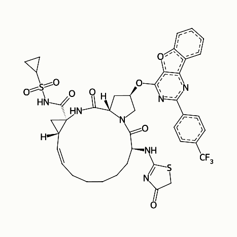 O=C1CSC(N[C@H]2CCCCC/C=C\[C@@H]3C[C@@]3(C(=O)NS(=O)(=O)C3CC3)NC(=O)[C@@H]3C[C@@H](Oc4nc(-c5ccc(C(F)(F)F)cc5)nc5c4oc4ccccc45)CN3C2=O)=N1